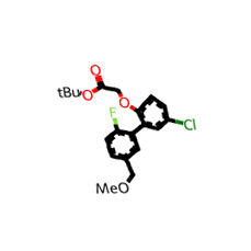 COCc1ccc(F)c(-c2cc(Cl)ccc2OCC(=O)OC(C)(C)C)c1